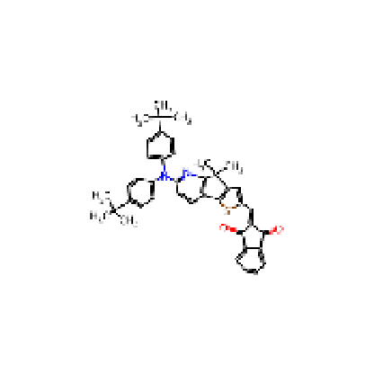 CC(C)(C)c1ccc(N(c2ccc(C(C)(C)C)cc2)c2ccc3c(n2)C(C)(C)c2cc(C=C4C(=O)c5ccccc5C4=O)sc2-3)cc1